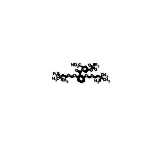 C[Si](C)(C)CCOCOc1cccc(OCOCC[Si](C)(C)C)c1C(=O)N1C=C(OS(=O)(=O)C(F)(F)F)C[C@H]1C(=O)O